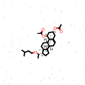 CC(=O)O[C@@H]1CC2=CC[C@H]3[C@@H]4CC[C@H](C(C)OCCC(C)C)[C@@]4(C)CC[C@@H]3[C@@]2(C)[C@@H](OC(C)=O)C1